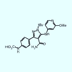 COc1cc(Nc2c(C(N)=O)c(-c3ccc(NC(=O)O)cc3)nn2C(C)(C)C)ccn1